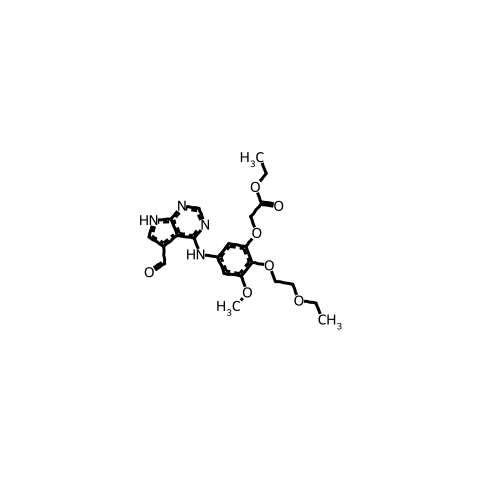 CCOCCOc1c(OC)cc(Nc2ncnc3[nH]cc(C=O)c23)cc1OCC(=O)OCC